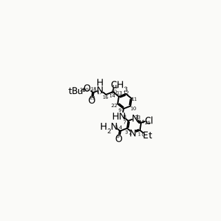 CCc1nc(C(N)=O)c(Nc2cccc([C@H](C)CNC(=O)OC(C)(C)C)c2)nc1Cl